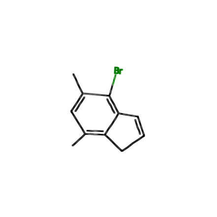 Cc1cc(C)c2c(c1Br)C=CC2